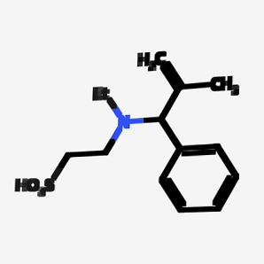 C=C(C)C(c1ccccc1)N(CC)CCS(=O)(=O)O